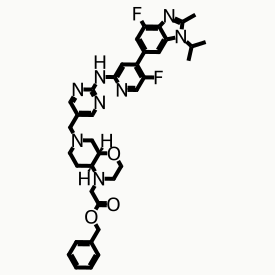 Cc1nc2c(F)cc(-c3cc(Nc4ncc(CN5CC[C@H]6[C@H](C5)OCCN6CC(=O)OCc5ccccc5)cn4)ncc3F)cc2n1C(C)C